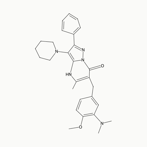 COc1ccc(Cc2c(C)[nH]c3c(N4CCCCC4)c(-c4ccccc4)nn3c2=O)cc1N(C)C